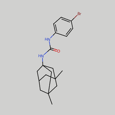 CC12CC3CC(C)(C1)CC(NC(=O)Nc1ccc(Br)cc1)(C3)C2